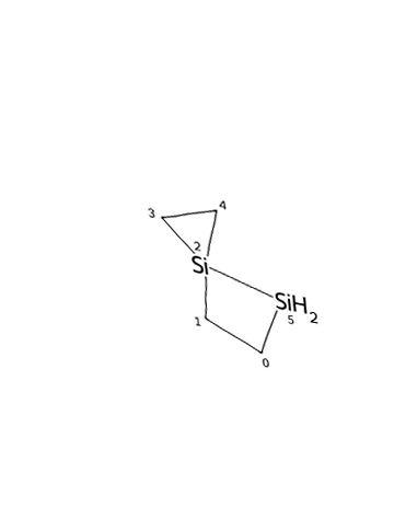 C1C[Si]2(CC2)[SiH2]1